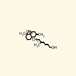 C=C1CC[C@H]2C(C)(C)CCC[C@]2(C)[C@H]1CC/C(C)=C/C=CCO